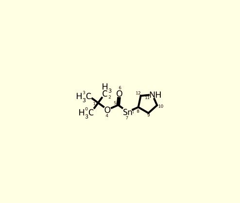 CC(C)(C)O[C](=O)[Sn][CH]1CCNC1